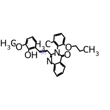 CCCOc1cccc(C)c1-n1c(/C=C/c2cccc(OC)c2O)nc2ccccc2c1=O